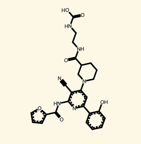 N#Cc1c(N2CCCC(C(=O)NCCNC(=O)O)C2)cc(-c2ccccc2O)nc1NC(=O)c1ccco1